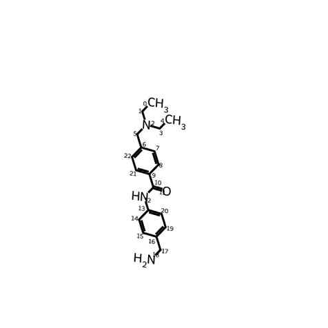 CCN(CC)Cc1ccc(C(=O)Nc2ccc(CN)cc2)cc1